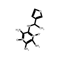 CC(Nc1c(N)[n+]([O-])c(N)c(N)[n+]1[O-])c1ccoc1